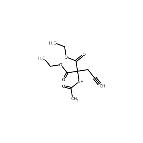 C#CCC(NC(C)=O)(C(=O)OCC)C(=O)OCC